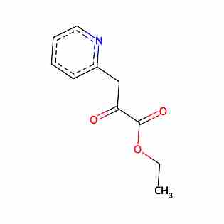 CCOC(=O)C(=O)Cc1ccccn1